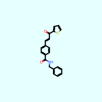 O=C(N[CH]c1ccccc1)c1ccc(C=CC(=O)c2cccs2)cc1